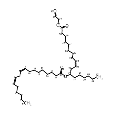 CCCCC/C=C\C/C=C\CCCCCCCC(=O)O[C@@H](C/C=C\CCCCCCCC(=O)OCC=O)CCCCCC